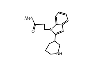 CNC(=O)CCn1c(C2CCCNC2)cc2ccccc21